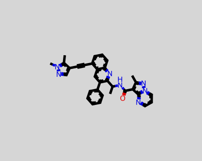 Cc1nn2cccnc2c1C(=O)NC(C)c1nc2cccc(C#Cc3cnn(C)c3C)c2cc1-c1ccccc1